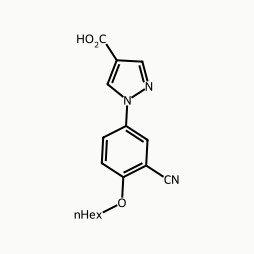 CCCCCCOc1ccc(-n2cc(C(=O)O)cn2)cc1C#N